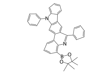 CC1(C)OB(c2cccc3c2nc(-c2ccccc2)c2cc4c5ccccc5n(-c5ccccc5)c4cc23)OC1(C)C